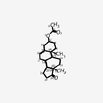 CC(=O)OC1CC[C@@]2(C)C(=CCC3C2CC[C@]2(C)C(=O)CCC32)C1